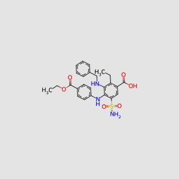 CCOC(=O)c1ccc(Nc2c(S(N)(=O)=O)cc(C(=O)O)c(CC)c2NCc2ccccc2)cc1